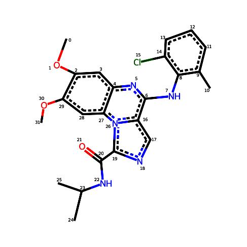 COc1cc2nc(Nc3c(C)cccc3Cl)c3cnc(C(=O)NC(C)C)n3c2cc1OC